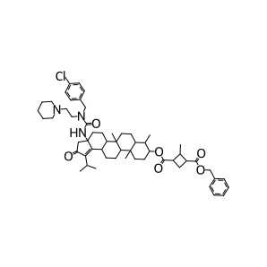 CC(C)C1=C2C3CCC4C(C)(CCC5C(C)C(OC(=O)C6CC(C(=O)OCc7ccccc7)C6C)CCC54C)C3CCC2(NC(=O)N(CCN2CCCCC2)Cc2ccc(Cl)cc2)CC1=O